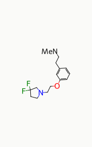 CNCCc1cccc(OCCN2CCC(F)(F)C2)c1